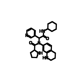 O=C(NC1CCCCC1)C(c1cccnc1)N(C(=O)C1CCCN1)c1ccc2c(c1)NCCC2